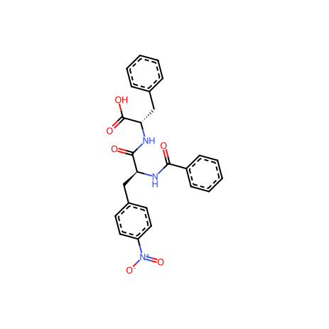 O=C(N[C@@H](Cc1ccc([N+](=O)[O-])cc1)C(=O)N[C@@H](Cc1ccccc1)C(=O)O)c1ccccc1